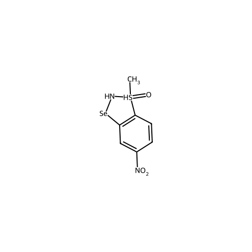 C[SH]1(=O)N[Se]c2cc([N+](=O)[O-])ccc21